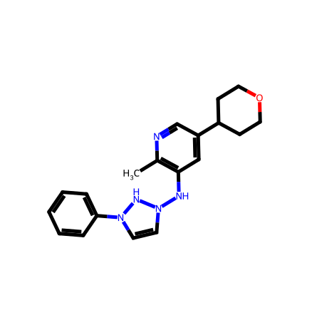 Cc1ncc(C2CCOCC2)cc1NN1C=CN(c2ccccc2)N1